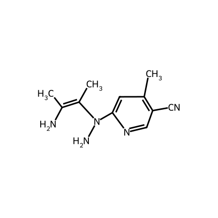 C/C(N)=C(\C)N(N)c1cc(C)c(C#N)cn1